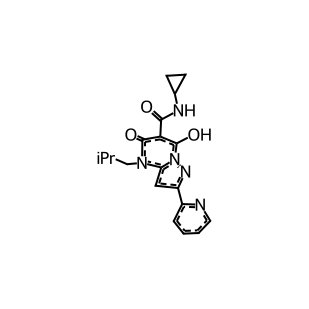 CC(C)Cn1c(=O)c(C(=O)NC2CC2)c(O)n2nc(-c3ccccn3)cc12